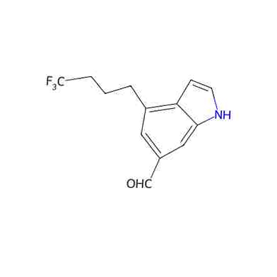 O=Cc1cc(CCCC(F)(F)F)c2cc[nH]c2c1